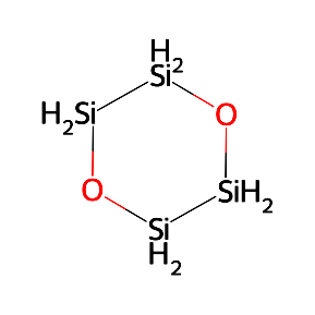 O1[SiH2][SiH2]O[SiH2][SiH2]1